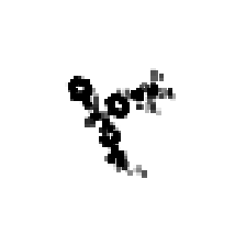 Cn1cc(-c2cnc(N(C(=O)NCc3ccccc3)[C@H]3CC[C@H](NC(=O)OC(C)(C)C)CC3)nc2)cn1